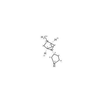 CN1C[C@H]2C[C@@H]1CN2[C@@H]1CCNC1